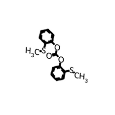 CSc1ccccc1OC(=O)Oc1ccccc1SC